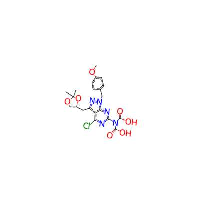 COc1ccc(Cn2nc(CC3COC(C)(C)O3)c3c(Cl)nc(N(C(=O)O)C(=O)O)nc32)cc1